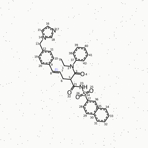 CCN(C(=O)C(C/C=C/c1ccc(Cn2ccnc2)cc1)C(=O)NS(=O)(=O)c1ccc2ccccc2c1)c1ccccc1